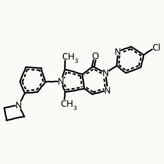 Cc1c2cnn(-c3ccc(Cl)cn3)c(=O)c2c(C)n1-c1cccc(N2CCC2)c1